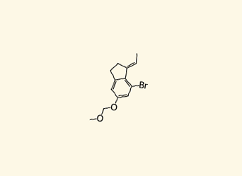 C/C=C1\CCc2cc(OCOC)cc(Br)c21